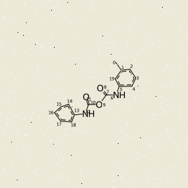 Cc1cccc(NC(=O)OC(=O)Nc2ccccc2)c1